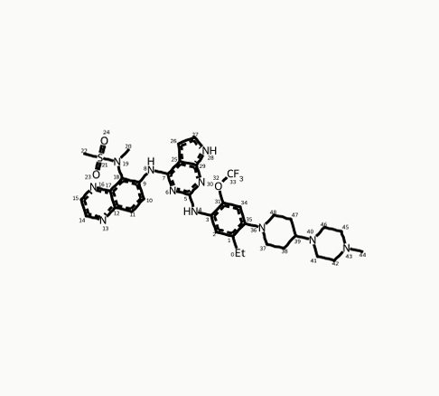 CCc1cc(Nc2nc(Nc3ccc4nccnc4c3N(C)S(C)(=O)=O)c3cc[nH]c3n2)c(OC(F)(F)F)cc1N1CCC(N2CCN(C)CC2)CC1